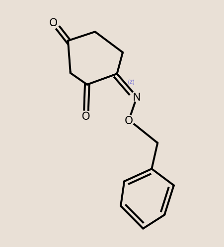 O=C1CC/C(=N/OCc2ccccc2)C(=O)C1